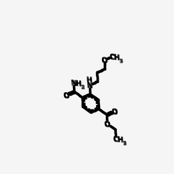 CCOC(=O)c1ccc(C(N)=O)c(NCCCOC)c1